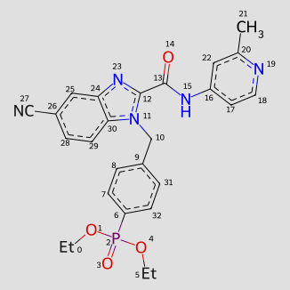 CCOP(=O)(OCC)c1ccc(Cn2c(C(=O)Nc3ccnc(C)c3)nc3cc(C#N)ccc32)cc1